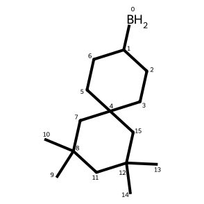 BC1CCC2(CC1)CC(C)(C)CC(C)(C)C2